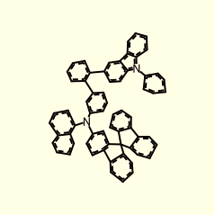 c1ccc(-n2c3ccccc3c3cc(-c4ccccc4-c4cccc(N(c5ccc6c(c5)C5(c7ccccc7-c7ccccc75)c5ccccc5-6)c5cccc6ccccc56)c4)ccc32)cc1